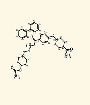 NC(=O)OC1CCN(CCNCC(=O)c2ccc(CN3CCC(C(N)=O)CC3)cc2)CC1.c1ccc(-c2ccccc2)cc1